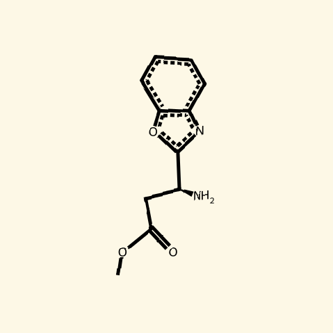 COC(=O)C[C@H](N)c1nc2ccccc2o1